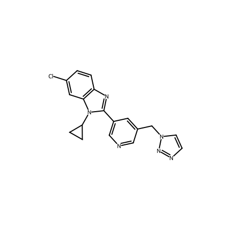 Clc1ccc2nc(-c3cncc(Cn4ccnn4)c3)n(C3CC3)c2c1